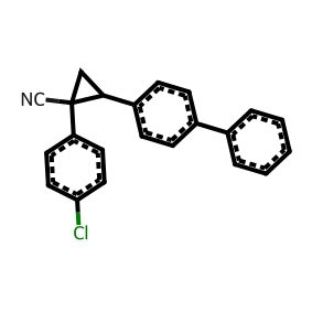 N#CC1(c2ccc(Cl)cc2)CC1c1ccc(-c2ccccc2)cc1